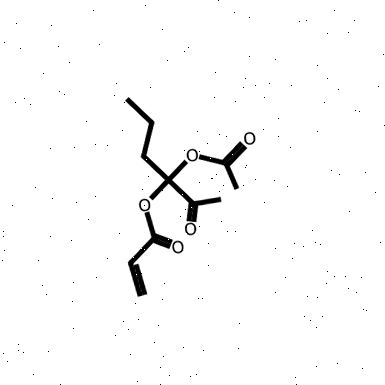 C=CC(=O)OC(CCC)(OC(C)=O)C(C)=O